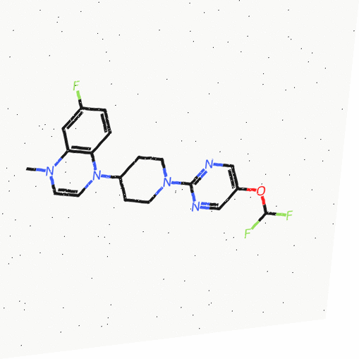 CN1C=CN(C2CCN(c3ncc(OC(F)F)cn3)CC2)c2ccc(F)cc21